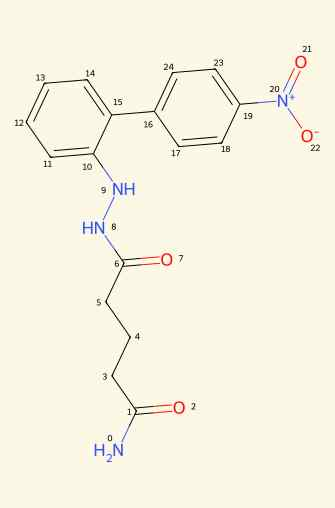 NC(=O)CCCC(=O)NNc1ccccc1-c1ccc([N+](=O)[O-])cc1